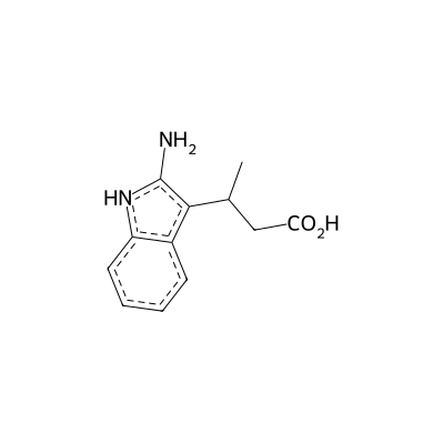 CC(CC(=O)O)c1c(N)[nH]c2ccccc12